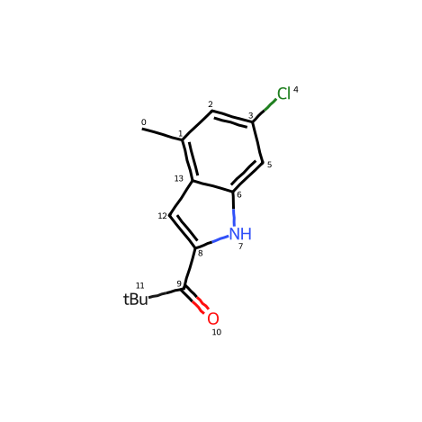 Cc1cc(Cl)cc2[nH]c(C(=O)C(C)(C)C)cc12